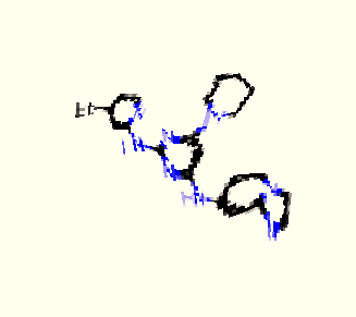 CCc1ccnc(Nc2nc(Nc3ccn4ccnc4c3)cc(N3CCCCC3)n2)c1